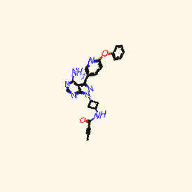 CC#CC(=O)N[C@H]1C[C@@H](n2nc(-c3ccc(Oc4ccccc4)nc3)c3c(N)ncnc32)C1